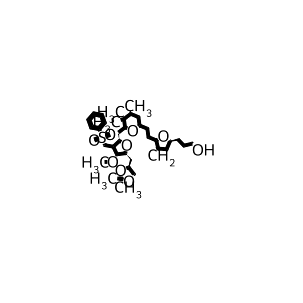 C=C1C[C@H](CCCO)OC1CCC1C[C@@H](C)C(C)(C)C(C[C@@H]2O[C@H](C[C@H]3COC(C)(C)O3)[C@H](OC)C2CS(=O)(=O)c2ccccc2)O1